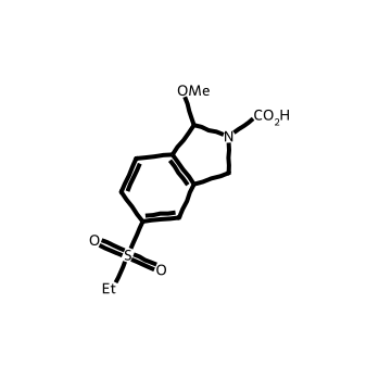 CCS(=O)(=O)c1ccc2c(c1)CN(C(=O)O)C2OC